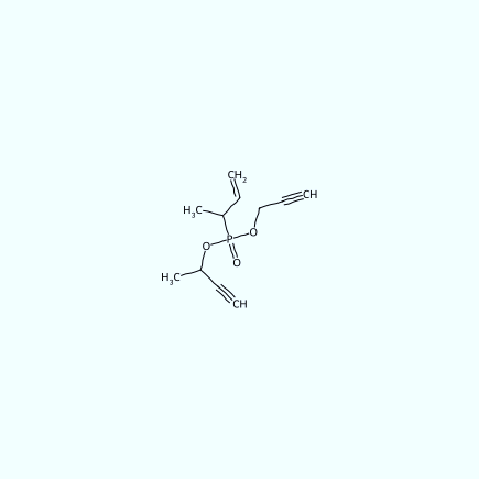 C#CCOP(=O)(OC(C)C#C)C(C)C=C